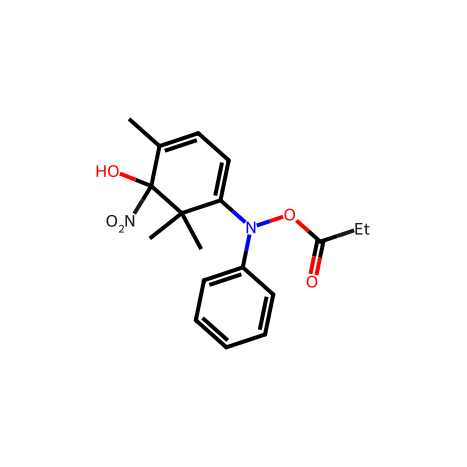 CCC(=O)ON(C1=CC=C(C)C(O)([N+](=O)[O-])C1(C)C)c1ccccc1